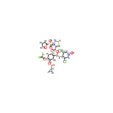 O=C(OC(Cc1c(Cl)c[n+]([O-])cc1Cl)c1ccc(OC(F)F)c(OCC2CC2)c1)C1SCCN1S(=O)(=O)c1ccco1